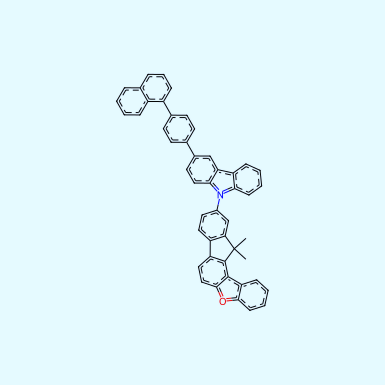 CC1(C)c2cc(-n3c4ccccc4c4cc(-c5ccc(-c6cccc7ccccc67)cc5)ccc43)ccc2-c2ccc3oc4ccccc4c3c21